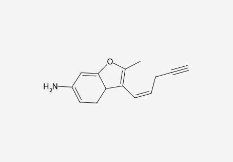 C#CC/C=C\C1=C(C)OC2=CC(N)=CCC21